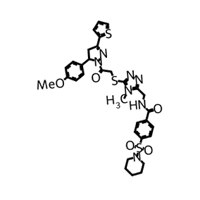 COc1ccc(C2CC(c3cccs3)=NN2C(=O)CSc2nnc(CNC(=O)c3ccc(S(=O)(=O)N4CCCCC4)cc3)n2C)cc1